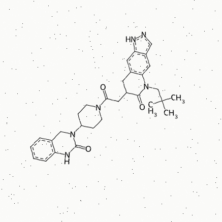 CC(C)(C)CN1C(=O)C(CC(=O)N2CCC(N3Cc4ccccc4NC3=O)CC2)Cc2cc3[nH]ncc3cc21